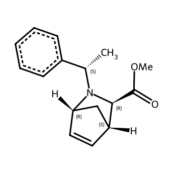 COC(=O)[C@H]1[C@@H]2C=C[C@@H](C2)N1[C@@H](C)c1ccccc1